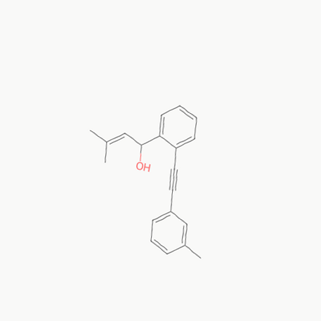 CC(C)=CC(O)c1ccccc1C#Cc1cccc(C)c1